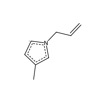 C=CCn1[c]cc(C)c1